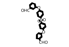 O=Cc1cccc(Oc2ccc(S(=O)(=O)c3ccc(Oc4cccc(C=O)c4)cc3)cc2)c1